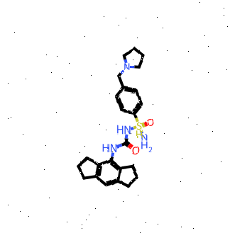 N[SH](=O)(NC(=O)Nc1c2c(cc3c1CCC3)CCC2)c1ccc(CN2CCCC2)cc1